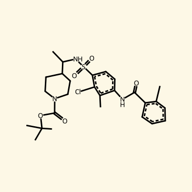 Cc1ccccc1C(=O)Nc1ccc(S(=O)(=O)NC(C)C2CCN(C(=O)OC(C)(C)C)CC2)c(Cl)c1C